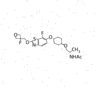 CC(=O)N[C@@H](C)CO[C@H]1CC[C@H](Oc2ccc3nc(OCC4(F)COC4)sc3c2F)CC1